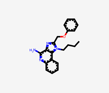 CCCCn1c(COc2ccccc2)nc2c(N)nc3ccccc3c21